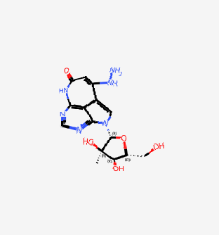 C[C@@]1(O)[C@H](O)[C@@H](CO)O[C@H]1n1cc2c3c(ncnc31)NC(=O)C=C2NN